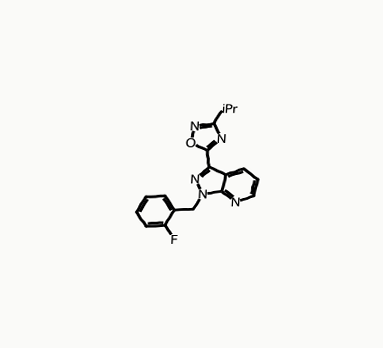 CC(C)c1noc(-c2nn(Cc3ccccc3F)c3ncccc23)n1